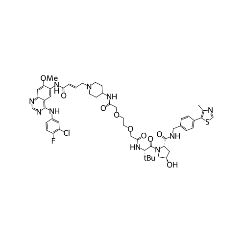 COc1cc2ncnc(Nc3ccc(F)c(Cl)c3)c2cc1NC(=O)/C=C/CN1CCC(NC(=O)COCCOCC(=O)N[C@H](C(=O)N2C[C@H](O)C[C@H]2C(=O)NCc2ccc(-c3scnc3C)cc2)C(C)(C)C)CC1